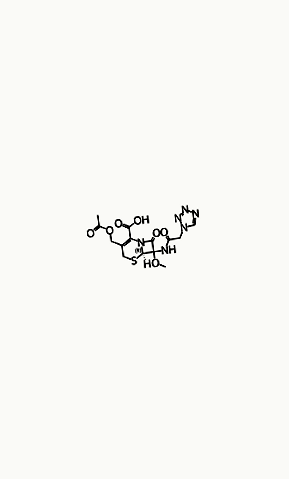 COC1(NC(=O)Cn2cnnn2)C(=O)N2C(C(=O)O)=C(COC(C)=O)CS[C@@H]21